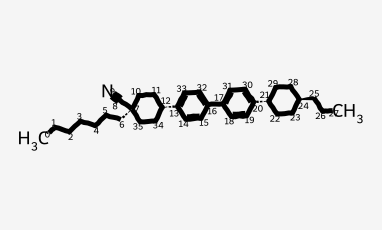 CCCCCCC[C@]1(C#N)CC[C@H](c2ccc(-c3ccc([C@H]4CC[C@H](CCC)CC4)cc3)cc2)CC1